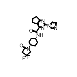 O=C(N[C@H]1CC[C@H](N2CC(F)(F)CC2=O)CC1)c1nc(-n2ccnc2)nc2c1CCC2